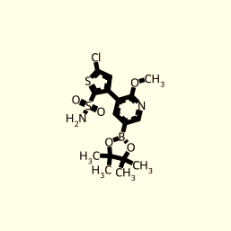 COc1ncc(B2OC(C)(C)C(C)(C)O2)cc1-c1cc(Cl)sc1S(N)(=O)=O